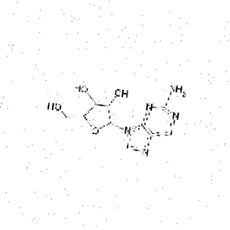 Nc1ncc2ncn([C@@H]3O[C@H](CO)C(O)C3O)c2n1